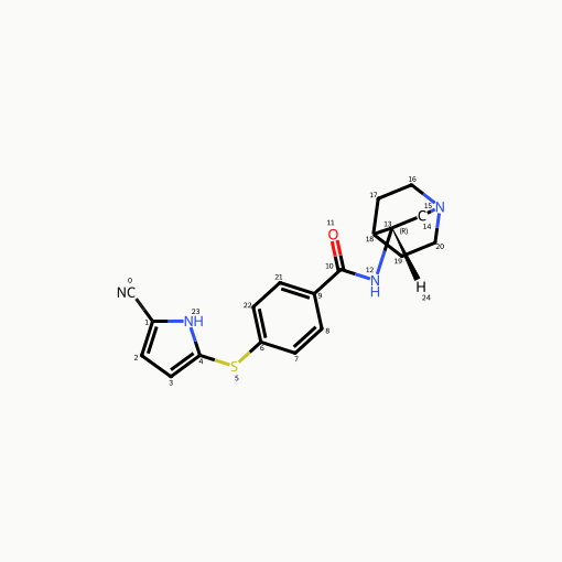 N#Cc1ccc(Sc2ccc(C(=O)N[C@H]3CN4CCC3CC4)cc2)[nH]1